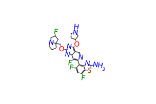 Nc1nc2c(-c3ncc4c(OC5CCNC5)nc(OCC56CCCN5CC(F)C6)nc4c3F)c(F)cc(F)c2s1